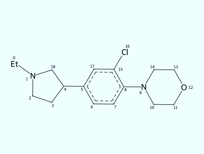 CCN1CCC(c2ccc(N3CCOCC3)c(Cl)c2)C1